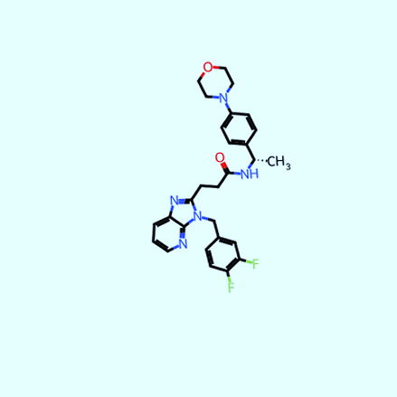 C[C@H](NC(=O)CCc1nc2cccnc2n1Cc1ccc(F)c(F)c1)c1ccc(N2CCOCC2)cc1